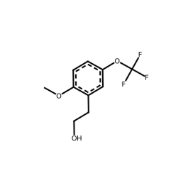 COc1ccc(OC(F)(F)F)cc1CCO